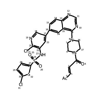 CC(=O)/C=C/C(=O)N1CCN(c2ncnc3ccc(-c4cnc(Cl)c(NS(=O)(=O)c5ccc(Cl)s5)c4)cc23)CC1